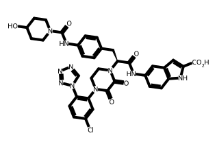 O=C(O)c1cc2cc(NC(=O)[C@H](Cc3ccc(NC(=O)N4CCC(O)CC4)cc3)N3CCN(c4cc(Cl)ccc4-n4cnnn4)C(=O)C3=O)ccc2[nH]1